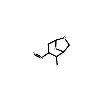 CC1C(N=O)CC2OCC1O2